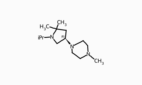 CC(C)N1C[C@H](N2CCN(C)CC2)CC1(C)C